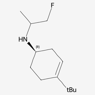 CC(CF)N[C@H]1CC=C(C(C)(C)C)CC1